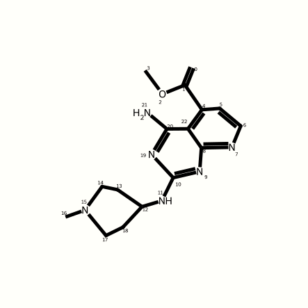 C=C(OC)c1ccnc2nc(NC3CCN(C)CC3)nc(N)c12